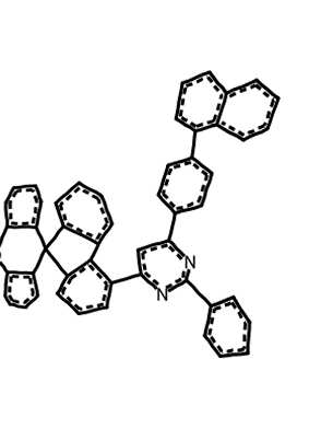 c1ccc(-c2nc(-c3ccc(-c4cccc5ccccc45)cc3)cc(-c3cccc4c3-c3ccccc3C43c4ccccc4Oc4ccccc43)n2)cc1